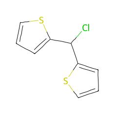 ClC(c1cccs1)c1cccs1